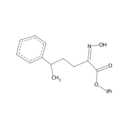 CC(C)OC(=O)C(CCC(C)c1ccccc1)=NO